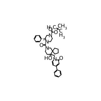 CC(C)(C)OC(=O)N1CCN(C(=O)N2CC[C@@](O)(Cn3ccc(-c4ccccc4)cc3=O)C3(CCCC3)C2)[C@H](c2ccccc2)C1